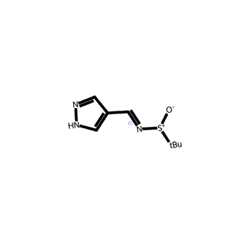 CC(C)(C)[S+]([O-])/N=C/c1cn[nH]c1